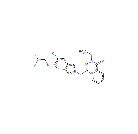 O=C(O)Cn1nc(Cn2cc3cc(OCC(F)F)c(Cl)cc3n2)c2ccccc2c1=O